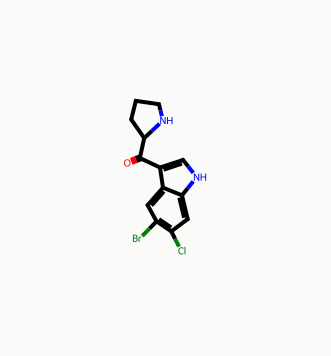 O=C(c1c[nH]c2cc(Cl)c(Br)cc12)C1CCCN1